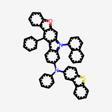 c1ccc(-c2c3c(cc4c2c2ccc(N(c5ccccc5)c5ccc6sc7ccccc7c6c5)cc2n4-c2cccc4ccccc24)oc2ccccc23)cc1